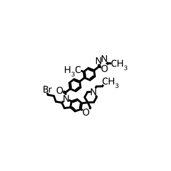 CCCN1CCC2(CC1)COc1cc3c(cc12)N(C(=O)c1ccc(-c2ccc(-c4nnc(C)o4)cc2C)cc1)C(CCCBr)C3